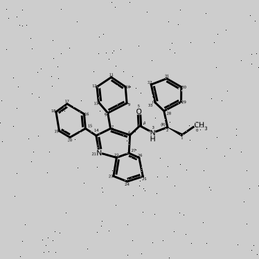 CC[C@@H](NC(=O)c1c(-c2ccccc2)c(-c2ccccc2)nc2ccccc12)c1ccccc1